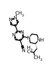 CC(C)C[C@@H]1CN(c2nc(-c3cnn(C)c3)ncc2C#N)CCN1